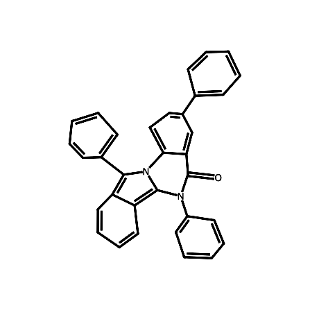 O=c1c2cc(-c3ccccc3)ccc2n2c(-c3ccccc3)c3ccccc3c2n1-c1ccccc1